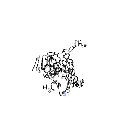 CCOc1cc2ccnc(O[C@@H]3C[C@H]4C(=O)N[C@]5(C(=O)NS(=O)(=O)C6CC6)C[C@H]5/C=C\CC[C@H](C)C[C@@H](CC)[C@H](NC(=O)OC(C)(C)C(C)(F)F)C(=O)N4C3)c2cc1F